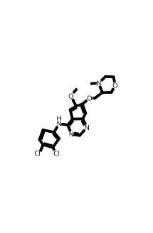 COc1cc2c(Nc3ccc(Cl)c(Cl)c3)ncnc2cc1OCC1COCCN1C